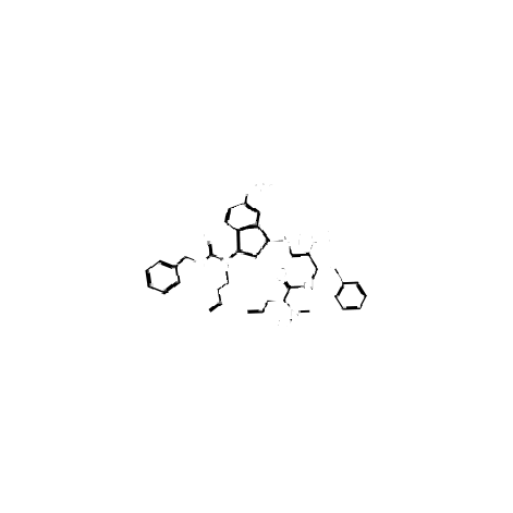 C=CCCN(C(=O)OCc1ccccc1)C1C[C@H](NC[C@@H](O)[C@H](Cc2ccccc2)NC(=O)[C@H](CC=C)N(C)C(C)=O)c2cc(OC)ccc21